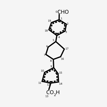 O=Cc1ccc(C2CCC(c3ccc(C(=O)O)cc3)CC2)cc1